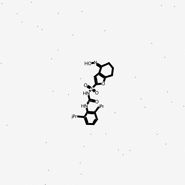 CC(C)c1cccc(C(C)C)c1NC(=O)NS(=O)(=O)c1cc2c(o1)CCC/C2=N/O